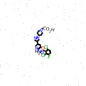 CC(Oc1cc(-c2cnn(C3CCN(CC(=O)O)CC3)c2)cnc1N)c1c(Cl)ccc(F)c1Cl